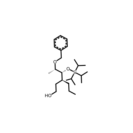 CCC[C@@H](CCO)[C@@H](O[Si](C(C)C)(C(C)C)C(C)C)[C@H](C)OCc1ccccc1